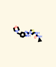 O=C(NC1=CN(c2nc3cc(CN4CCOCC4)ccc3[nH]2)CS1)NC1CC1